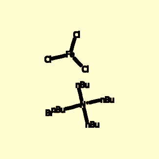 CCCC[N+](CCCC)(CCCC)CCCC.[Br-].[Cl][Fe]([Cl])[Cl]